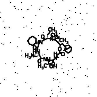 CCC[C@H]1C(=O)N[C@@H](C2CCCCCC2)C(=O)N[C@@H](CN)C(=O)N[C@@H]([C@H](C)O)C(=O)NCC(=O)O[C@H](CC2CC3CCC2CC3)[C@@H](C)C(=O)N1C